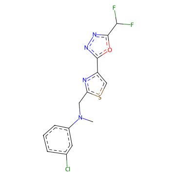 CN(Cc1nc(-c2nnc(C(F)F)o2)cs1)c1cccc(Cl)c1